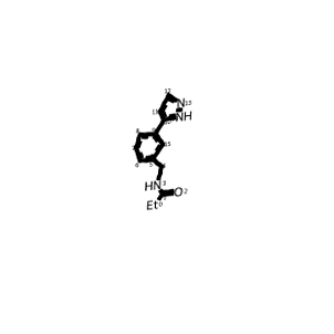 CCC(=O)NCc1cccc(-c2ccn[nH]2)c1